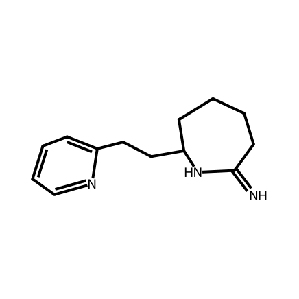 N=C1CCCCC(CCc2ccccn2)N1